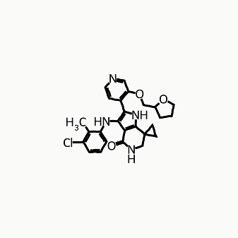 Cc1c(Cl)cccc1Nc1c(-c2ccncc2OCC2CCCO2)[nH]c2c1C(=O)NCC21CC1